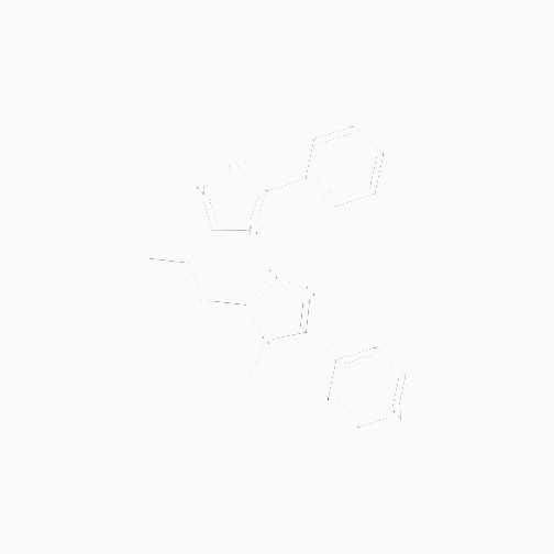 CC(Oc1nnc(-c2ccncc2)n1C)c1noc(-c2ccccc2)n1